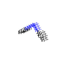 [Ga+3].[Ga+3].[Ga+3].[In+3].[In+3].[In+3].[N-3].[N-3].[N-3].[N-3].[N-3].[N-3].[N-3].[N-3].[Zn+2].[Zn+2].[Zn+2]